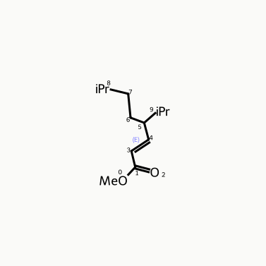 COC(=O)/C=C/C(CCC(C)C)C(C)C